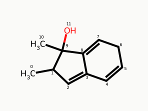 CC1C=C2C=CCC=C2C1(C)O